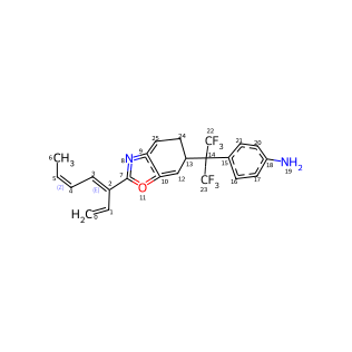 C=C/C(=C\C=C/C)c1nc2c(o1)=CC(C(c1ccc(N)cc1)(C(F)(F)F)C(F)(F)F)CC=2